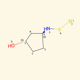 O[C@H]1CC[C@H](NSS)C1